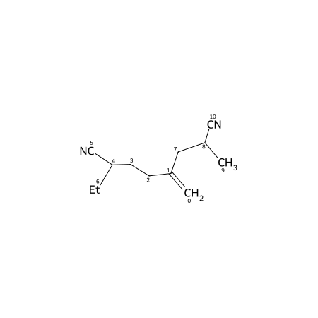 C=C(CCC(C#N)CC)CC(C)C#N